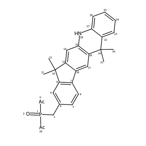 CC(=O)P(=O)(Cc1ccc2c(c1)C(C)(C)c1cc3c(cc1-2)C(C)(C)c1ccccc1N3)C(C)=O